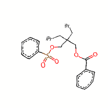 CC(C)CC(COC(=O)c1ccccc1)(COS(=O)(=O)c1ccccc1)CC(C)C